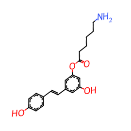 NCCCCCC(=O)Oc1cc(O)cc(/C=C/c2ccc(O)cc2)c1